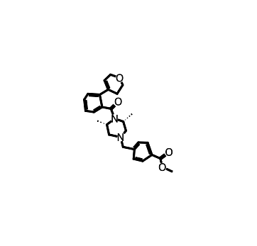 COC(=O)c1ccc(CN2C[C@@H](C)N(C(=O)c3ccccc3C3=CCOCC3)[C@@H](C)C2)cc1